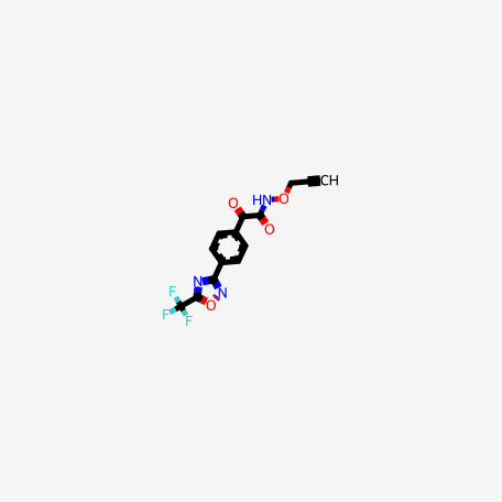 C#CCONC(=O)C(=O)c1ccc(-c2noc(C(F)(F)F)n2)cc1